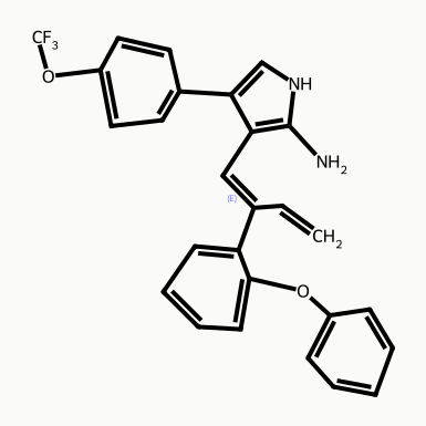 C=C/C(=C\c1c(-c2ccc(OC(F)(F)F)cc2)c[nH]c1N)c1ccccc1Oc1ccccc1